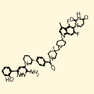 Cc1cn(C2CCN(CC3(F)CCN(C(=O)c4ccc([C@H]5CCCN(c6cc(-c7ccccc7O)nnc6N)C5)cc4)CC3)CC2)c2cc(F)c(N3CCC(=O)NC3=O)c(F)c12